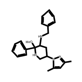 COC1(c2ccccc2)NCC(n2nc(C)cc2C)CC1NCc1ccccc1